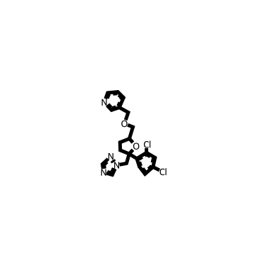 Clc1ccc(C2(Cn3cncn3)CCC(COCc3cccnc3)O2)c(Cl)c1